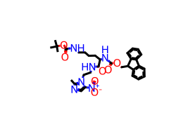 Cc1ncc([N+](=O)[O-])n1CCNC(=O)C(CCCCNC(=O)OC(C)(C)C)NC(=O)OCC1c2ccccc2-c2ccccc21